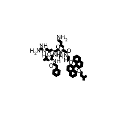 CC(C)CCOc1ccc2ccccc2c1-c1c(OCCNC(=O)[C@@H](CCCCN)NC(=O)[C@@H](CCCNC(=N)N)NC(=O)[C@@H](CC(C)C)NC(=O)Cc2ccccc2)ccc2ccccc12